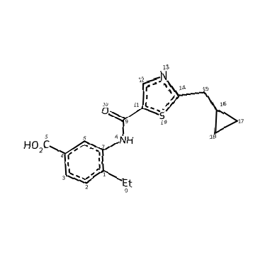 CCc1ccc(C(=O)O)cc1NC(=O)c1cnc(CC2CC2)s1